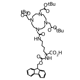 CC(C)(C)OC(=O)CN1CCN(CC(=O)NCCCC[C@H](NC(=O)OCC2c3ccccc3-c3ccccc32)C(=O)O)CCN(CC(=O)OC(C)(C)C)CCN(CC(=O)OC(C)(C)C)CC1